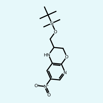 CC(C)(C)[Si](C)(C)OCC1COc2ncc([N+](=O)[O-])cc2N1